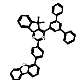 CC1(C)c2ccccc2-c2nc(-c3ccc(-c4cccc5c4oc4ccccc45)cc3)nc(-c3cc(-c4ccccc4)cc(-c4ccccc4)c3)c21